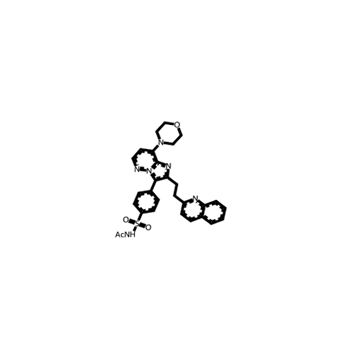 CC(=O)NS(=O)(=O)c1ccc(-c2c(CCc3ccc4ccccc4n3)nc3c(N4CCOCC4)ccnn23)cc1